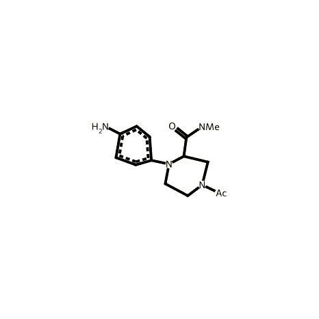 CNC(=O)C1CN(C(C)=O)CCN1c1ccc(N)cc1